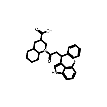 O=C(O)C1CC2CCCCC2N(C(=O)CC(c2ccccc2)c2c[nH]c3cccc(F)c23)C1